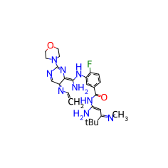 C=C/N=C1/C=NC(N2CCOCC2)=N/C1=C(/N)Nc1cc(C(=O)N/C(N)=C/C(=N\C)C(C)(C)C)ccc1F